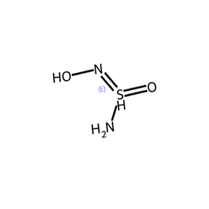 N/[SH](=O)=N\O